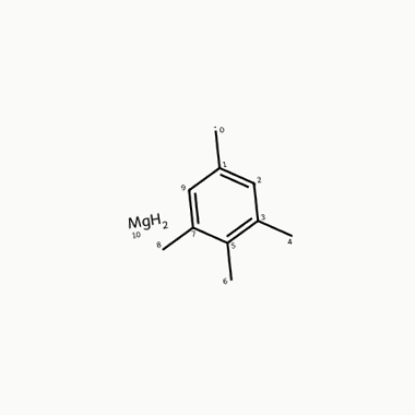 [CH2]c1cc(C)c(C)c(C)c1.[MgH2]